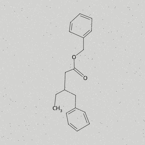 CCC(CC(=O)OCc1ccccc1)Cc1ccccc1